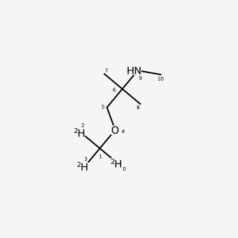 [2H]C([2H])([2H])OCC(C)(C)NC